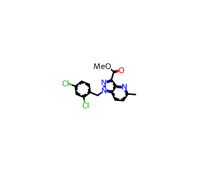 COC(=O)c1nn(Cc2ccc(Cl)cc2Cl)c2ccc(C)nc12